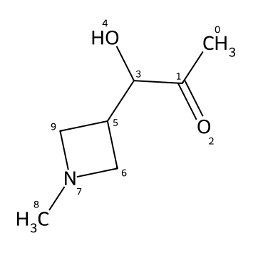 CC(=O)C(O)C1CN(C)C1